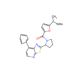 CNC(C)c1ccc(C(=O)N2CCCC2c2nc3c(-c4ccccc4)ccnc3s2)o1